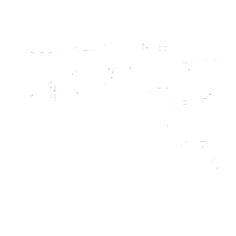 C=C1CCCC2(CCN(c3cc(-c4ccc(F)cc4)c(I)cn3)CC2)N1